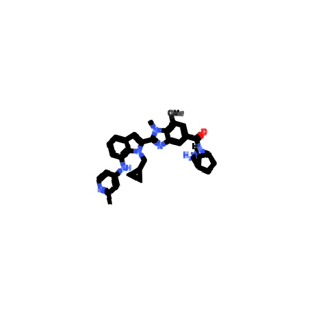 COc1cc(C(=O)N2CC3CCC2[C@@H]3N)cc2nc(-c3cc4cccc(Nc5ccnc(C)c5)c4n3CC3CC3)n(C)c12